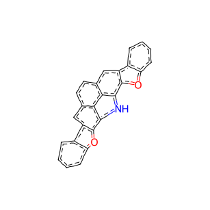 c1ccc2c(c1)oc1c2cc2ccc3cc4c5ccccc5oc4c4[nH]c1c2c34